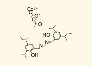 CC(=O)[O-].CC(=O)[O-].CCC(C)c1cc(C=NCN=Cc2cc(C(C)CC)cc(C(C)C)c2O)c(O)c(C(C)C)c1.[Co+2]